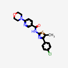 Cc1sc(NC(=O)c2ccc(N3CCOCC3)nc2)nc1-c1ccc(Cl)cc1